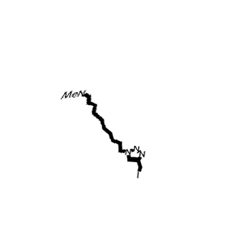 CNCCCCCCCCCCn1cc(CI)nn1